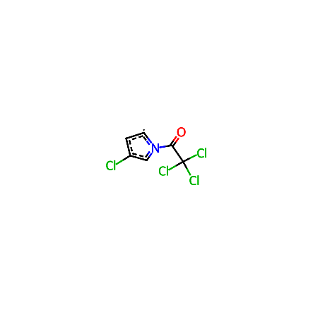 O=C(n1[c]cc(Cl)c1)C(Cl)(Cl)Cl